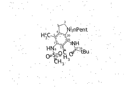 CCCCCN1CCc2c(C)c(NS(C)(=O)=O)c(C)c(NC(=O)C(C)(C)C)c21